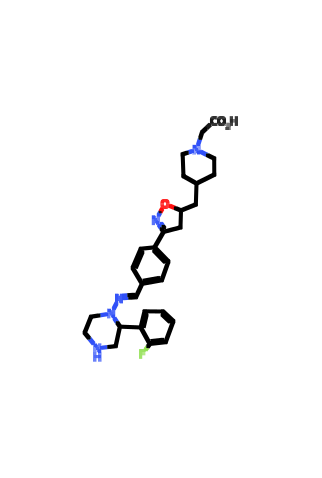 O=C(O)CN1CCC(CC2CC(c3ccc(C=NN4CCNCC4c4ccccc4F)cc3)=NO2)CC1